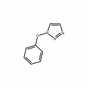 c1ccc(On2ccnn2)cc1